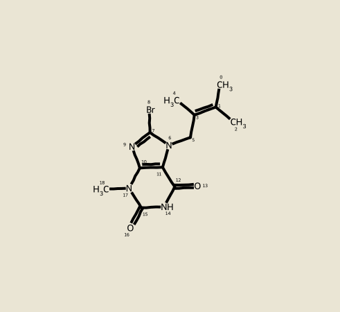 CC(C)=C(C)Cn1c(Br)nc2c1c(=O)[nH]c(=O)n2C